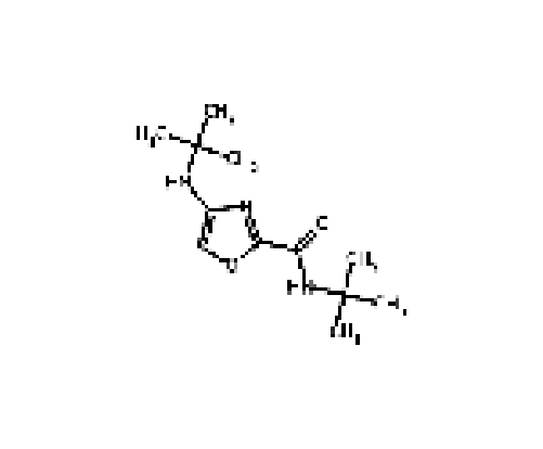 CC(C)(C)NC(=O)c1nc(NC(C)(C)C)co1